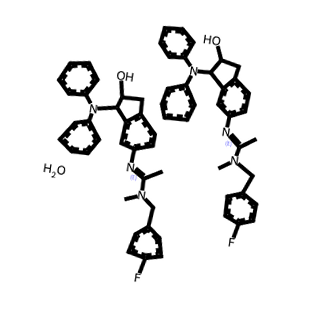 C/C(=N\c1ccc2c(c1)C(N(c1ccccc1)c1ccccc1)C(O)C2)N(C)Cc1ccc(F)cc1.C/C(=N\c1ccc2c(c1)C(N(c1ccccc1)c1ccccc1)C(O)C2)N(C)Cc1ccc(F)cc1.O